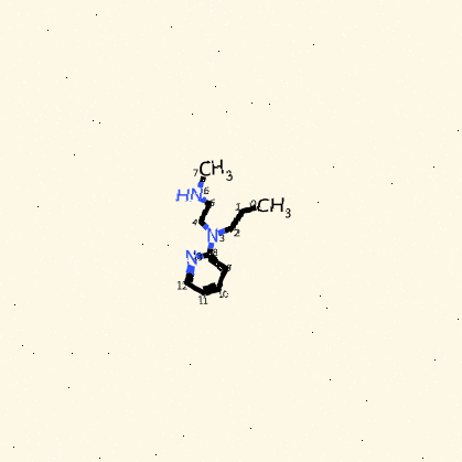 CCCN(CCNC)c1ccccn1